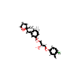 Cc1cc(OC[C@H](O)COc2cccc(CC3(C(=O)O)CCCO3)c2)ccc1Cl